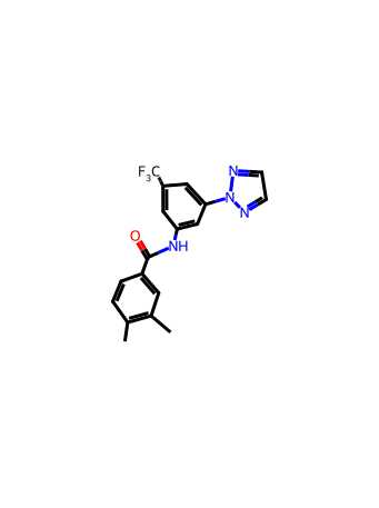 Cc1ccc(C(=O)Nc2cc(-n3nccn3)cc(C(F)(F)F)c2)cc1C